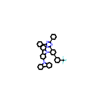 FC(F)(F)c1cccc(-c2ccc(-c3nc(-c4ccccc4)nc(-c4ccccc4)n3)c(-n3c4ccccc4c4ccc(-n5c6ccccc6c6ccccc65)cc43)c2)c1